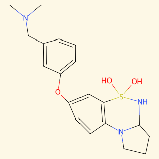 CN(C)Cc1cccc(Oc2ccc3c(c2)S(O)(O)NC2CCCN32)c1